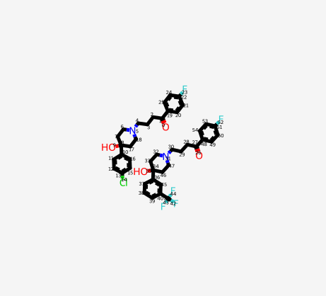 O=C(CCCN1CCC(O)(c2ccc(Cl)cc2)CC1)c1ccc(F)cc1.O=C(CCCN1CCC(O)(c2cccc(C(F)(F)F)c2)CC1)c1ccc(F)cc1